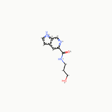 O=C(NCCCO)c1cc2cc[nH]c2cn1